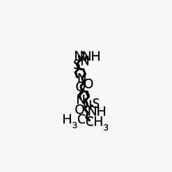 CC(C)C1NC(=S)N(c2ccc(OC(=O)N3CCC(Sc4nc[nH]n4)CC3)cn2)C1=O